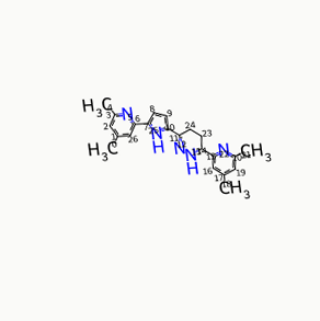 Cc1cc(C)nc(-c2ccc(C3=NNC(c4cc(C)cc(C)n4)CC3)[nH]2)c1